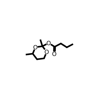 CCCC(=O)OC1(C)OCCC(C)O1